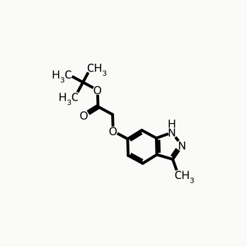 Cc1n[nH]c2cc(OCC(=O)OC(C)(C)C)ccc12